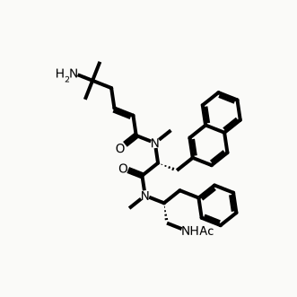 CC(=O)NC[C@@H](Cc1ccccc1)N(C)C(=O)[C@@H](Cc1ccc2ccccc2c1)N(C)C(=O)C=CCC(C)(C)N